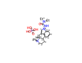 CCN(CC)C(=O)Nn1cc2c3c(cccc31)C1CCCN(C(C)C)[C@@H]1C2.O=P(O)(O)O